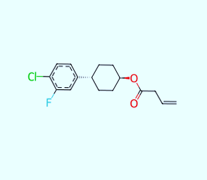 C=CCC(=O)O[C@H]1CC[C@H](c2ccc(Cl)c(F)c2)CC1